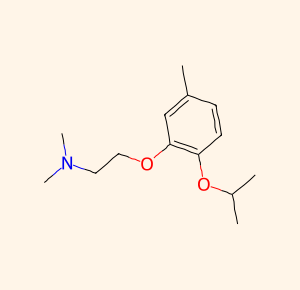 Cc1ccc(OC(C)C)c(OCCN(C)C)c1